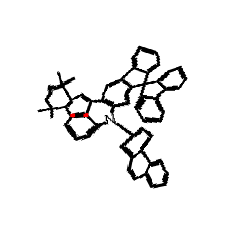 CC1(C)CCC(C)(C)c2cc(-c3cc4c(cc3N(c3ccccc3)c3ccc5c(ccc6ccccc65)c3)C3(c5ccccc5-c5ccccc53)c3ccccc3-4)ccc21